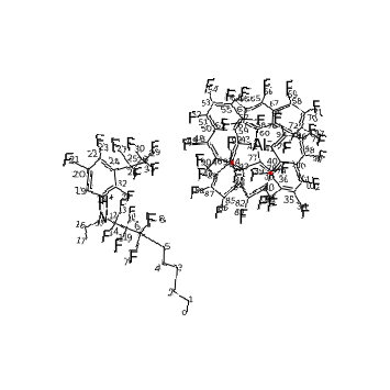 CCCCCCC(F)(F)C(F)(F)C(F)(F)[NH+](CC)c1cc(F)c(F)c(C(F)(F)C(F)(F)F)c1F.Fc1c(F)c(F)c2[c]([Al-]([c]3c(F)c(F)c(F)c4c(F)c(F)c(F)c(F)c34)([c]3c(F)c(F)c(F)c4c(F)c(F)c(F)c(F)c34)[c]3c(F)c(F)c(F)c4c(F)c(F)c(F)c(F)c34)c(F)c(F)c(F)c2c1F